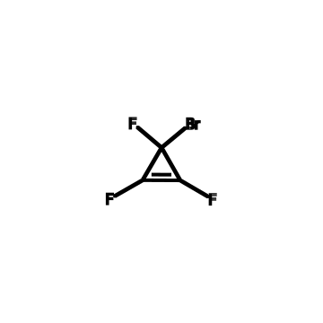 FC1=C(F)C1(F)Br